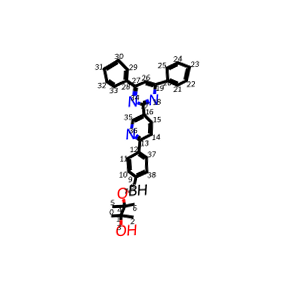 CC(C)(O)C(C)(C)OBc1ccc(-c2ccc(-c3nc(-c4ccccc4)cc(-c4ccccc4)n3)cn2)cc1